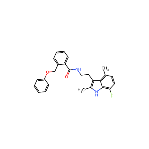 Cc1[nH]c2c(F)ccc(C)c2c1CCNC(=O)c1ccccc1COc1ccccc1